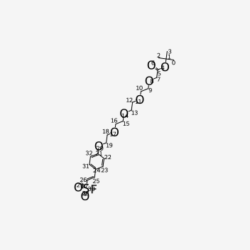 CC(C)(C)OC(=O)COCCOCCOCCOCCOc1ccc(/C=C/S(=O)(=O)F)cc1